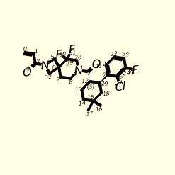 C=CC(=O)N1CC2(CCN(C(=O)[C@H]3CCC(C)(C)C[C@@H]3c3cccc(F)c3Cl)CC2(F)F)C1